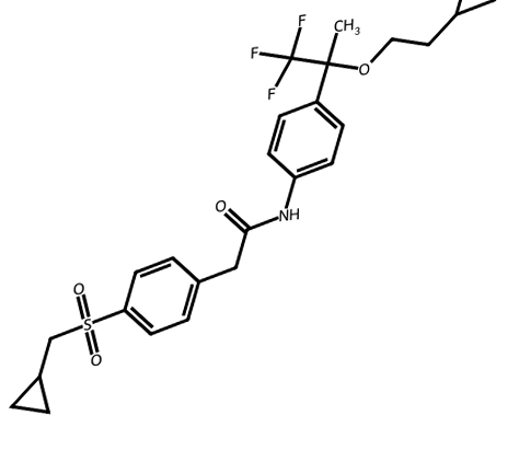 CC(OCCC1CC1)(c1ccc(NC(=O)Cc2ccc(S(=O)(=O)CC3CC3)cc2)cc1)C(F)(F)F